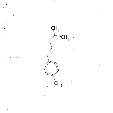 Cc1ccc(CCCC(C)C)cc1